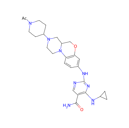 CC(=O)N1CCC(N2CCN3c4ccc(Nc5ncc(C(N)=O)c(NC6CC6)n5)cc4OCC3C2)CC1